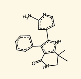 CC1(C)CNC(=O)c2c1[nH]c(-c1ccnc(N)c1)c2-c1ccccc1